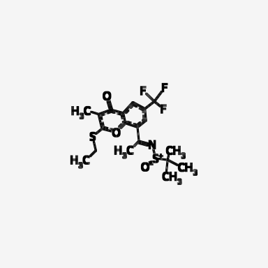 CCSc1oc2c(/C(C)=N/[S@+]([O-])C(C)(C)C)cc(C(F)(F)F)cc2c(=O)c1C